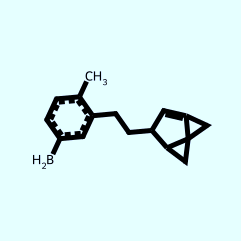 Bc1ccc(C)c(CCC2C=C3CC34CC24)c1